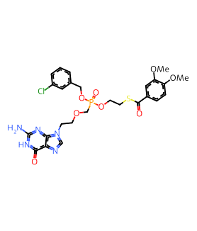 COc1ccc(C(=O)SCCOP(=O)(COCCn2cnc3c(=O)[nH]c(N)nc32)OCc2cccc(Cl)c2)cc1OC